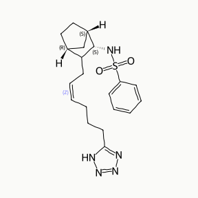 O=S(=O)(N[C@@H]1C(C/C=C\CCCc2nnn[nH]2)[C@@H]2CC[C@H]1C2)c1ccccc1